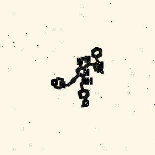 COc1ccc(CNc2nc3c(-c4cn(C)nc4-c4ccccc4)ncnc3cc2C#CCN2CCOCC2)cc1